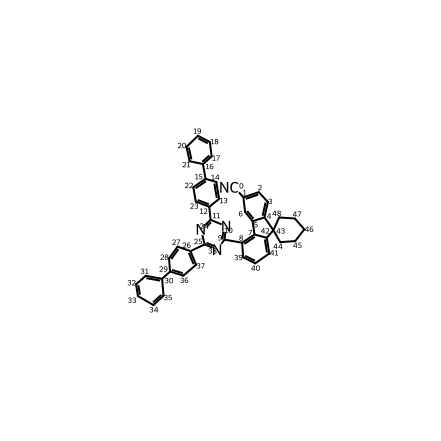 N#Cc1ccc2c(c1)-c1c(-c3nc(-c4ccc(-c5ccccc5)cc4)nc(-c4ccc(-c5ccccc5)cc4)n3)cccc1C21CCCCC1